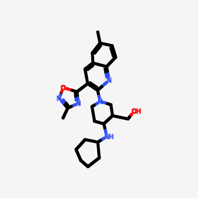 Cc1ccc2nc(N3CCC(NC4CCCCC4)C(CO)C3)c(-c3nc(C)no3)cc2c1